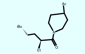 CC[C@@H](C)CC[C@H](CC)C(=O)N1CCC(C(C)=O)CC1